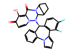 O=C1c2c(O)c(=O)ccn2N([C@@H]2c3ccccc3-n3cccc3-c3c2ccc(F)c3F)C2C3CCC(CC3)N12